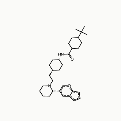 CC(C)(C)C1CCC(C(=O)N[C@H]2CC[C@H](CCN3CCCCC3c3coc4cccc-4c3)CC2)CC1